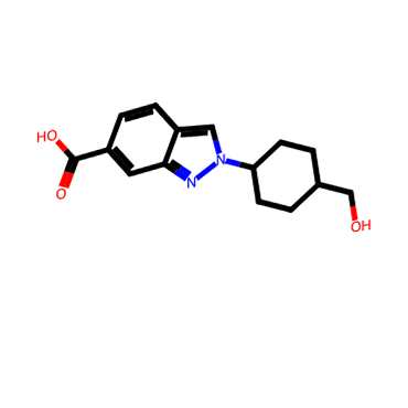 O=C(O)c1ccc2cn(C3CCC(CO)CC3)nc2c1